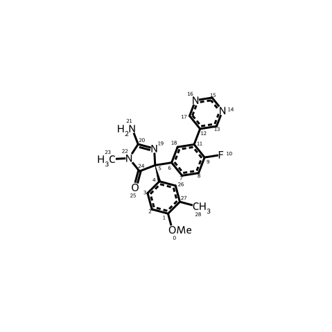 COc1ccc([C@]2(c3ccc(F)c(-c4cncnc4)c3)N=C(N)N(C)C2=O)cc1C